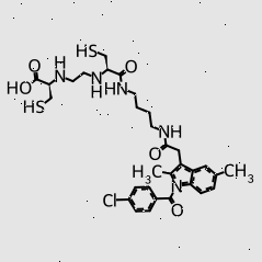 Cc1ccc2c(c1)c(CC(=O)NCCCCNC(=O)[C@H](CS)NCCN[C@@H](CS)C(=O)O)c(C)n2C(=O)c1ccc(Cl)cc1